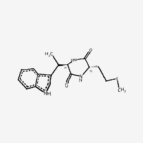 CSCC[C@@H]1NC(=O)[C@@H](C(C)c2c[nH]c3ccccc23)NC1=O